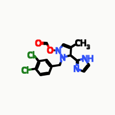 CC1=CN(OC=O)N(Cc2ccc(Cl)c(Cl)c2)C1c1ncc[nH]1